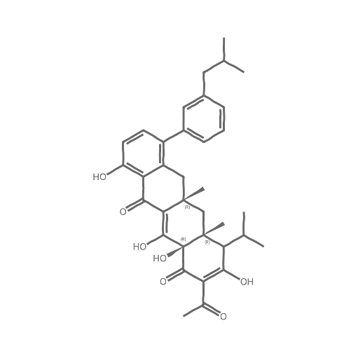 CC(=O)C1=C(O)C(C(C)C)[C@@]2(C)C[C@@]3(C)Cc4c(-c5cccc(CC(C)C)c5)ccc(O)c4C(=O)C3=C(O)[C@@]2(O)C1=O